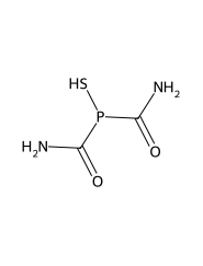 NC(=O)P(S)C(N)=O